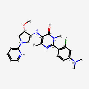 CCO[C@H]1CN(c2ccccn2)C[C@H]1Nc1c(CC)nc(-c2ccc(N(C)C)cc2Cl)n(CC)c1=O